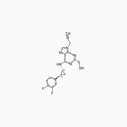 C#CCn1cnc2c(N[C@@H]3C[C@H]3c3ccc(F)c(F)c3)nc(SCCC)nc21